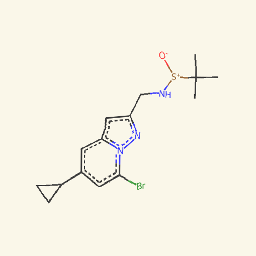 CC(C)(C)[S+]([O-])NCc1cc2cc(C3CC3)cc(Br)n2n1